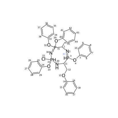 CC1/N=[PH](/Oc2ccccc2)C(COc2ccccc2)N[PH](Cl)(Oc2ccccc2)N=P1(Oc1ccccc1)Oc1ccccc1